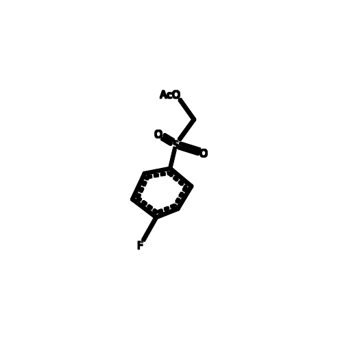 CC(=O)OCS(=O)(=O)c1ccc(F)cc1